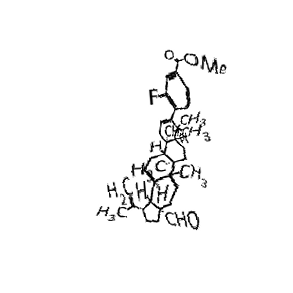 C=C(C)[C@@H]1CC[C@]2(C=O)CC[C@]3(C)[C@H](CC[C@@H]4[C@@]5(C)CC=C(c6ccc(C(=O)OC)cc6F)C(C)(C)[C@@H]5CC[C@]43C)[C@@H]12